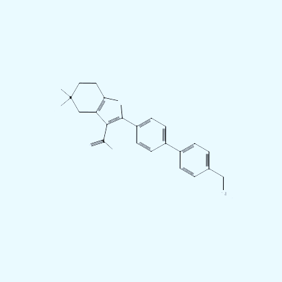 CC1(C)CCc2sc(-c3ccc(-c4ccc(CN)cc4)cc3)c(C(=O)O)c2C1